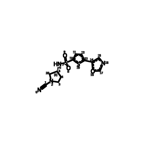 N#CN1CC[C@@H](NS(=O)(=O)c2ccc(-c3cnco3)s2)C1